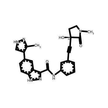 Cc1n[nH]cc1-c1ccc2[nH]nc(C(=O)Nc3cccc(C#C[C@]4(O)CCN(C)C4=O)c3)c2c1